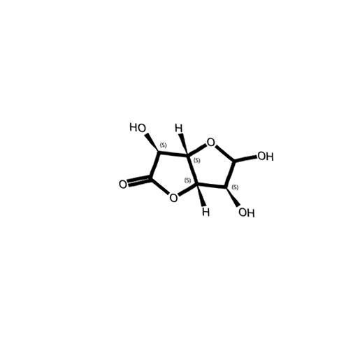 O=C1O[C@@H]2[C@@H](OC(O)[C@H]2O)[C@@H]1O